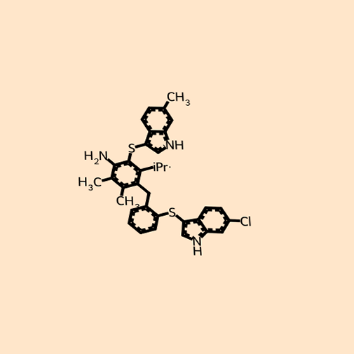 C[C](C)c1c(Cc2ccccc2Sc2c[nH]c3cc(Cl)ccc23)c(C)c(C)c(N)c1Sc1c[nH]c2cc(C)ccc12